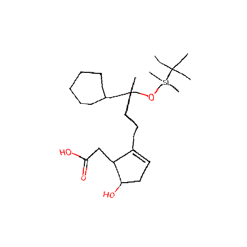 CC(CCC1=CCC(O)C1CC(=O)O)(O[Si](C)(C)C(C)(C)C)C1CCCCC1